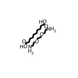 NCCOCCOCCN.O=C(O)CCCCCCCCC(=O)O